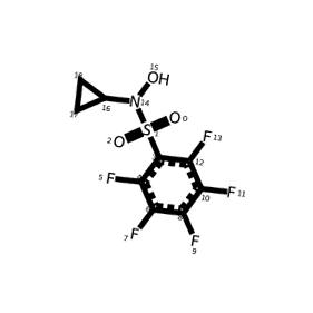 O=S(=O)(c1c(F)c(F)c(F)c(F)c1F)N(O)C1CC1